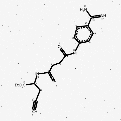 C#CCC(NC(=O)CCC(=O)Nc1ccc(C(=N)N)cc1)C(=O)OCC